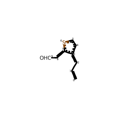 C=C/C=c1/ccs/c1=C\C=O